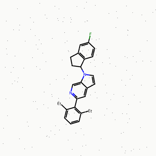 CCc1cccc(CC)c1-c1cc2ccn(C3CCc4cc(F)ccc43)c2cn1